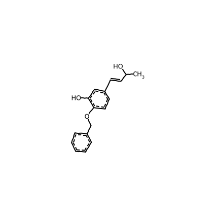 CC(O)/C=C/c1ccc(OCc2ccccc2)c(O)c1